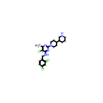 Cc1nc(N2CCC(C3CCCNC3)CC2)nc(NCc2ccc(Cl)cc2Cl)c1Cl